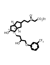 CCOC(=O)C[S+]([O-])CCC1C[C@@H]2C[C@H](O)[C@@H](CCC(O)COc3cccc(C(F)(F)F)c3)[C@@H]2C1